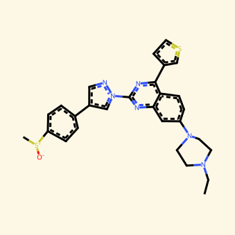 CCN1CCN(c2ccc3c(-c4ccsc4)nc(-n4cc(-c5ccc([S+](C)[O-])cc5)cn4)nc3c2)CC1